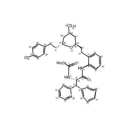 COC(=O)N[C@H](C(=O)Nc1ccccc1CC[C@@H]1CN(C(=O)O)C[C@@H](CCc2ccc(Cl)cc2)O1)C(c1ccccc1)c1ccccc1